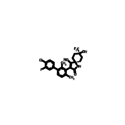 Cc1ccc(-c2ccc(Cl)c(F)c2)c(C)c1C1=C(O)[C@]2(CC[C@@](O)(C(F)(F)F)CC2)NC1=O